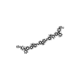 CC(C)(C)c1ccc(-n2c3ccccc3c3cc(-c4ccc5c(c4)C(C)(C)c4cc(/C=C/c6ccc7c(c6)C(C)(C)c6cc(/C=C/c8ccc9c(c8)C(C)(C)c8cc(-c%10ccc%11c(c%10)c%10ccccc%10n%11-c%10ccc(C(C)(C)C)cc%10)ccc8-9)ccc6-7)ccc4-5)ccc32)cc1